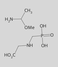 COC(C)N.O=C(O)CNCP(=O)(O)O